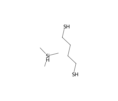 C[SiH](C)C.SCCCCS